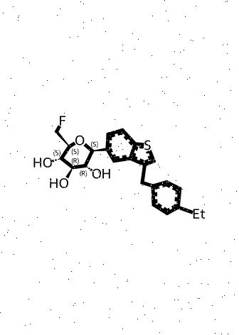 CCc1ccc(Cc2csc3ccc([C@@H]4O[C@H](CF)[C@@H](O)[C@H](O)[C@H]4O)cc23)cc1